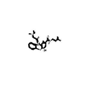 CCN(C)C[C@@H](C)N1c2ccccc2Sc2ccc(C(=O)NCCC(C)C)cc21.Cl